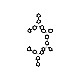 c1ccc(-c2ccc(N(c3ccc(-c4ccccc4)cc3)c3ccc4cc(N(c5ccccc5)c5ccc(-c6ccc(N(c7ccccc7)c7ccc8cc(N(c9ccc(-c%10ccccc%10)cc9)c9ccc(-c%10ccccc%10)cc9)ccc8c7)cc6)cc5)ccc4c3)cc2)cc1